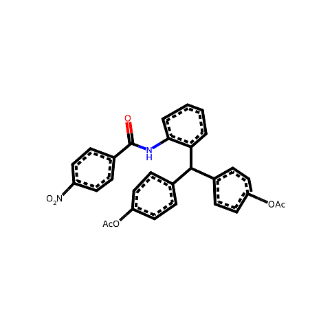 CC(=O)Oc1ccc(C(c2ccc(OC(C)=O)cc2)c2ccccc2NC(=O)c2ccc([N+](=O)[O-])cc2)cc1